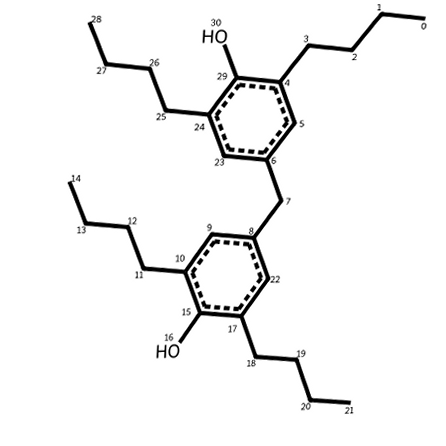 CCCCc1cc(Cc2cc(CCCC)c(O)c(CCCC)c2)cc(CCCC)c1O